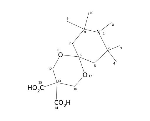 CN1C(C)(C)CC2(CC1(C)C)OCC(C(=O)O)(C(=O)O)CO2